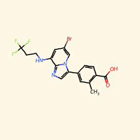 Cc1cc(-c2cnc3c(NCCC(F)(F)F)cc(Br)cn23)ccc1C(=O)O